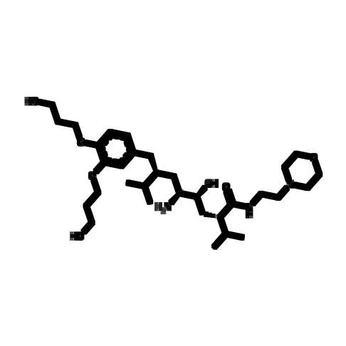 CC(C)[C@@H](Cc1ccc(OCCCO)c(OCCCO)c1)C[C@H](N)[C@@H](O)C[C@H](C(=O)NCCN1CCOCC1)C(C)C